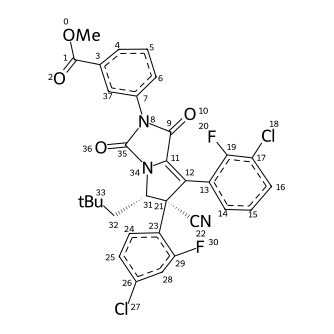 COC(=O)c1cccc(N2C(=O)C3=C(c4cccc(Cl)c4F)[C@@](C#N)(c4ccc(Cl)cc4F)[C@H](CC(C)(C)C)N3C2=O)c1